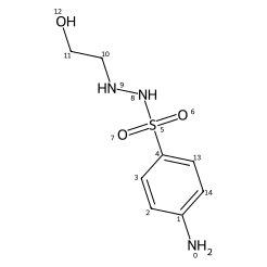 Nc1ccc(S(=O)(=O)NNCCO)cc1